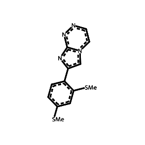 CSc1ccc(-c2cn3ccnnc3n2)c(SC)c1